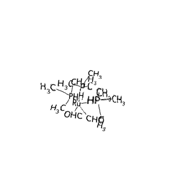 C[PH](C)(C)[Ru]([CH]=O)([CH]=O)([PH](C)(C)C)[PH](C)(C)C